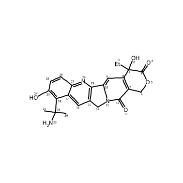 CCC1(O)C(=O)OCc2c1cc1n(c2=O)Cc2cc3c(C(C)(C)N)c(O)ccc3nc2-1